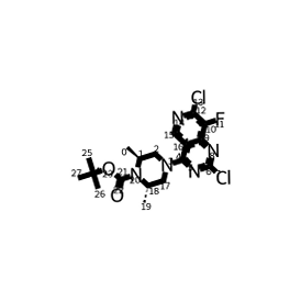 C[C@H]1CN(c2nc(Cl)nc3c(F)c(Cl)ncc23)C[C@H](C)N1C(=O)OC(C)(C)C